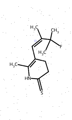 CC1=C(/C=C(/C)C(C)(C)F)CCC(=S)N1